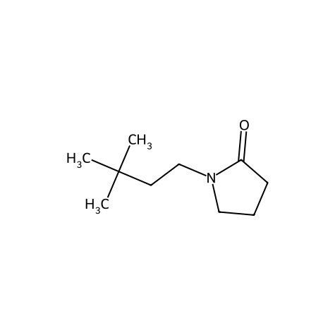 CC(C)(C)CCN1CCCC1=O